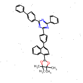 CC1(C)OB(c2ccc(-c3ccc(-c4nc(-c5ccccc5)nc(-c5ccc(-c6ccccc6)cc5)n4)cc3)c3ccccc23)OC1(C)C